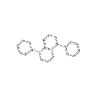 c1cc[n+](-c2cccc3c(-[n+]4ccccc4)cccc23)cc1